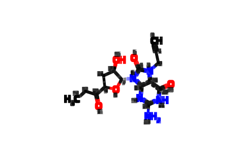 C#CCn1c(=O)n([C@@H]2OC(C(=O)CC)C[C@H]2O)c2nc(N)[nH]c(=O)c21